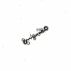 O=C(CCCCCN1C(=O)C=CC1=O)NCCOCCN(O)Cc1ccccc1